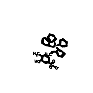 C=Cc1ccccc1[P+](Cc1ccccc1)(c1ccccc1)c1ccccc1.Cc1ccc(S(=O)(=O)[O-])cc1O